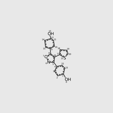 Oc1ccc(-c2noc(-c3ccc(O)cc3)c2-c2cccs2)cc1